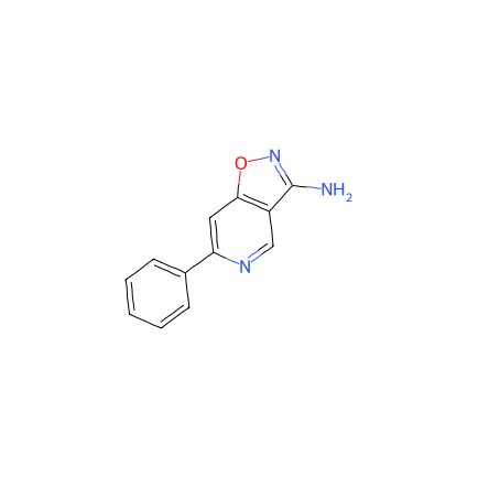 Nc1noc2cc(-c3ccccc3)ncc12